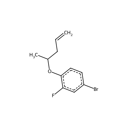 C=CCC(C)Oc1ccc(Br)cc1F